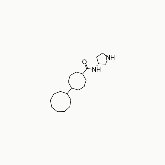 O=C(N[C@@H]1CCNC1)C1CCCC(C2CCCCCCCC2)CCC1